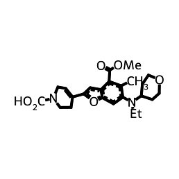 CCN(c1cc2oc(C3=CCN(C(=O)O)CC3)cc2c(C(=O)OC)c1C)C1CCOCC1